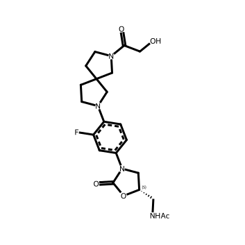 CC(=O)NC[C@H]1CN(c2ccc(N3CCC4(CCN(C(=O)CO)C4)C3)c(F)c2)C(=O)O1